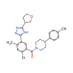 CCc1cc(C)c(-c2nnc(C3CCOC3)[nH]2)cc1C(=O)N1CCC(c2ccc(C#N)cc2)CC1